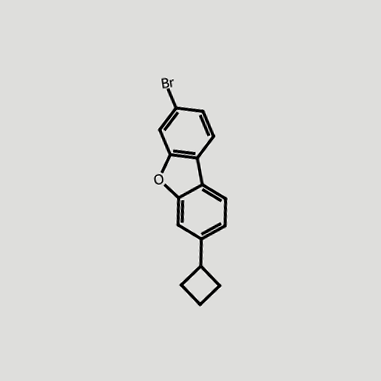 Brc1ccc2c(c1)oc1cc(C3CCC3)ccc12